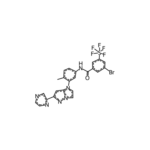 Cc1ccc(NC(=O)c2cc(Br)cc(S(F)(F)(F)(F)F)c2)cc1-n1ccn2nc(-c3cnccn3)cc12